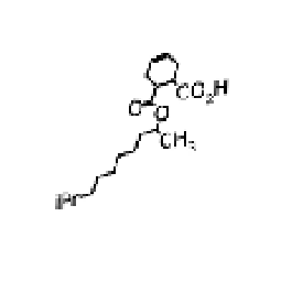 CC(C)CCCCCCC(C)OC(=O)C1CC=CCC1C(=O)O